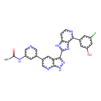 CCCC(=O)Nc1cncc(-c2cnc3[nH]nc(-c4nc5c(-c6cc(O)cc(F)c6)nccc5[nH]4)c3c2)c1